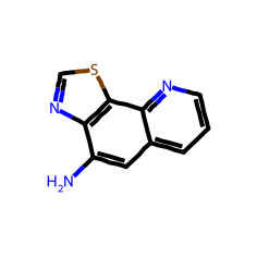 Nc1cc2cccnc2c2scnc12